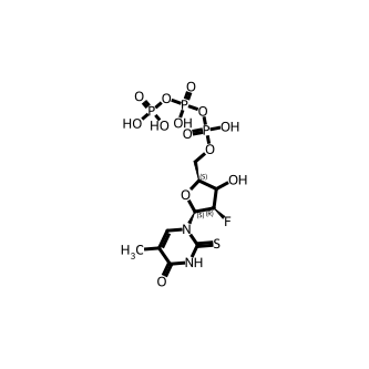 Cc1cn([C@H]2O[C@@H](COP(=O)(O)OP(=O)(O)OP(=O)(O)O)C(O)[C@H]2F)c(=S)[nH]c1=O